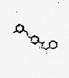 C[C@@H](NC(=O)c1ccc(OCc2cccc(F)c2)nc1)C1CCCCC1